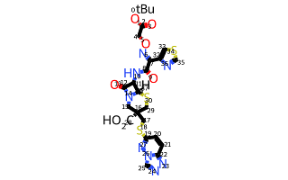 CC(C)(C)OC(=O)CON=C(C(=O)NC1C(=O)N2CC(CSc3ccc4nncn4n3)(C(=O)O)CS[C@H]12)c1cscn1